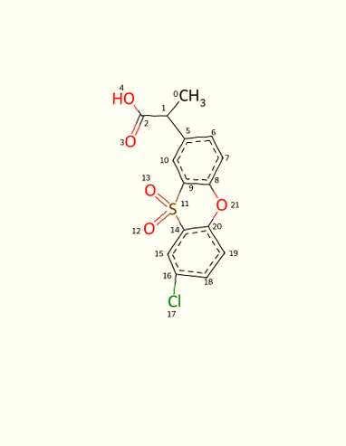 CC(C(=O)O)c1ccc2c(c1)S(=O)(=O)c1cc(Cl)ccc1O2